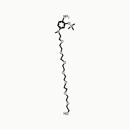 CN(CCOCCOCCOCCOCCOCCOCCOCCO)c1ccc(N)c(O[Si](C)(C)C)c1